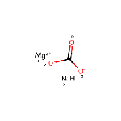 O=C([O-])[O-].[Mg+2].[NaH]